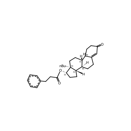 CCCC[C@]12CC[C@H]3[C@@H](CCC4=CC(=O)CC[C@@H]43)[C@@H]1CC[C@@H]2OC(=O)CCc1ccccc1